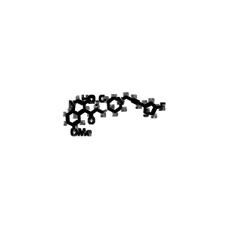 COc1ccc2ncc(Cl)c(C(=O)CC[C@H]3CCN(CC#Cc4cc(F)cs4)C[C@H]3C(=O)O)c2c1